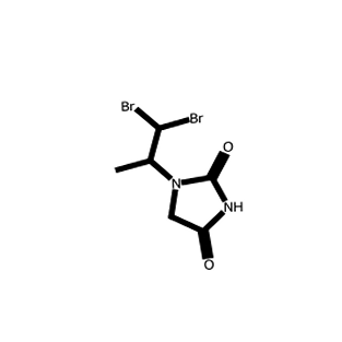 CC(C(Br)Br)N1CC(=O)NC1=O